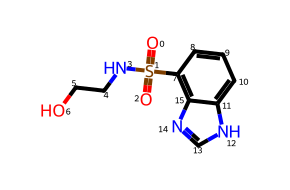 O=S(=O)(NCCO)c1cccc2[nH]cnc12